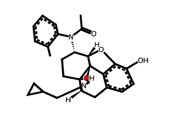 CC(=O)N(c1ccccc1C)[C@H]1CC[C@@]2(O)[C@H]3Cc4ccc(O)c5c4[C@@]2(CCN3CC2CC2)[C@H]1O5